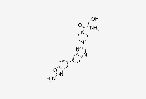 Nc1nc2cc(-c3ccc4ncc(N5CCN(C(=O)[C@H](N)CO)CC5)nc4c3)ccc2o1